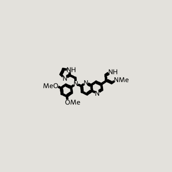 CN/C=C(\C=N)c1cnc2ccc(N(Cc3ncc[nH]3)c3cc(OC)cc(OC)c3)nc2c1